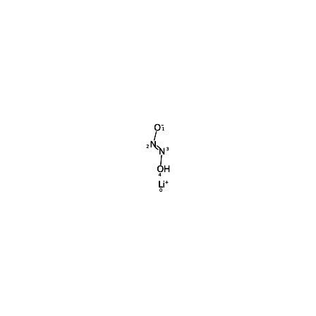 [Li+].[O-]N=NO